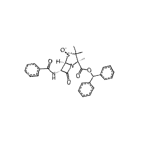 CC1(C)[S+]([O-])[C@@H]2[C@@H](NC(=O)c3ccccc3)C(=O)N2[C@]1(C)C(=O)OC(c1ccccc1)c1ccccc1